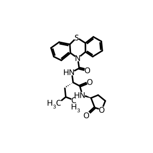 CC(C)C[C@H](NC(=O)N1c2ccccc2Sc2ccccc21)C(=O)N[C@H]1CCOC1=O